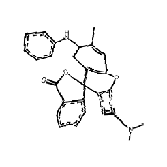 CC1=CC2=C(CC1Nc1ccccc1)C1(OC(=O)c3ccccc31)c1ccc(N(C)C)cc1O2